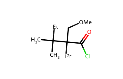 CCC(C)(C)C(COC)(C(=O)Cl)C(C)C